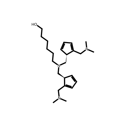 CN(C)CC1=CC=C[C@@H]1CN(CCCCCCO)C[C@@H]1C=CC=C1CN(C)C